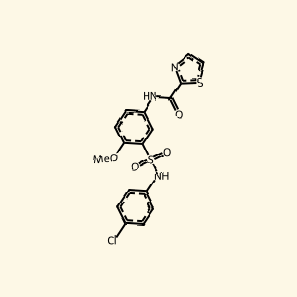 COc1ccc(NC(=O)c2nccs2)cc1S(=O)(=O)Nc1ccc(Cl)cc1